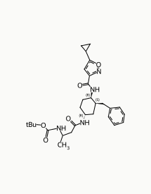 CC(CC(=O)N[C@@H]1CC[C@@H](NC(=O)c2cc(C3CC3)on2)[C@@H](Cc2ccccc2)C1)NC(=O)OC(C)(C)C